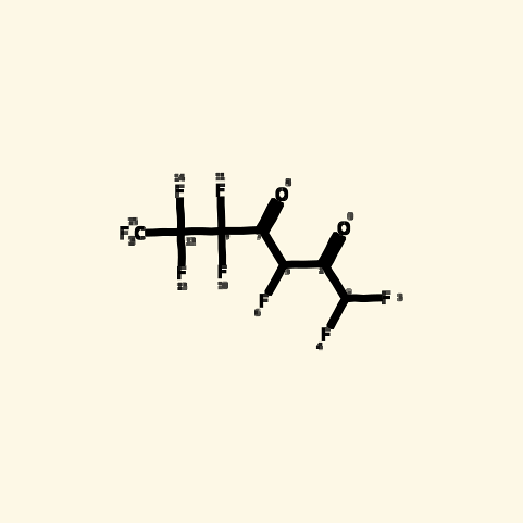 O=C(C(F)F)C(F)C(=O)C(F)(F)C(F)(F)C(F)(F)F